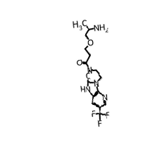 C[C@@H](N)COCCC(=O)N1CCN2c3ncc(C(F)(F)F)cc3NC2C1